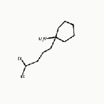 CCC(CC)CCCC1(N)CCCCC1